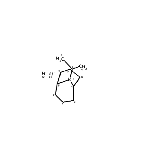 CC(C)B1C2CCCC1CCC2.[H-].[Li+]